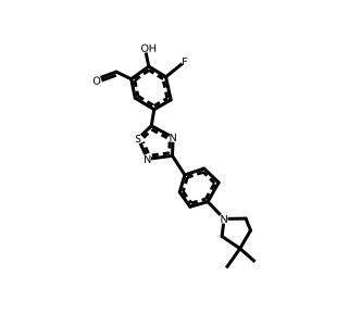 CC1(C)CCN(c2ccc(-c3nsc(-c4cc(F)c(O)c(C=O)c4)n3)cc2)C1